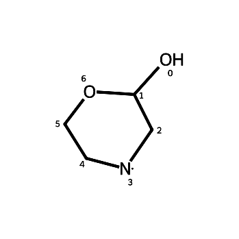 OC1C[N]CCO1